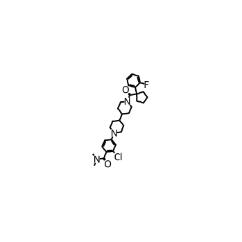 CN(C)C(=O)c1ccc(N2CCC(C3CCN(C(=O)C4(c5ccccc5F)CCCC4)CC3)CC2)cc1Cl